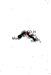 COc1ccc(C[C@H](N)C(=O)NC(=O)[C@H](CC(=O)O)NC(=O)CNC(=O)[C@@H](N)CCCNC(=N)N)cc1